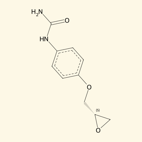 NC(=O)Nc1ccc(OC[C@@H]2CO2)cc1